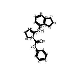 O=C(Oc1ccccc1)N1CCN=C1Nc1cccc2c1CCC2